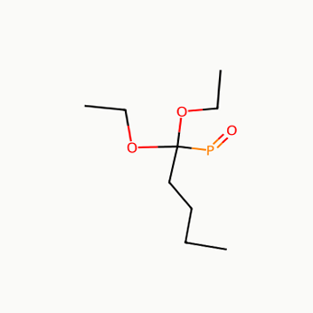 CCCCC(OCC)(OCC)P=O